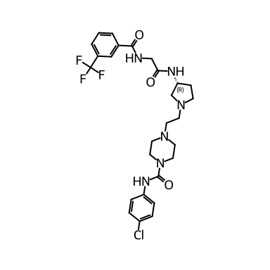 O=C(CNC(=O)c1cccc(C(F)(F)F)c1)N[C@@H]1CCN(CCN2CCN(C(=O)Nc3ccc(Cl)cc3)CC2)C1